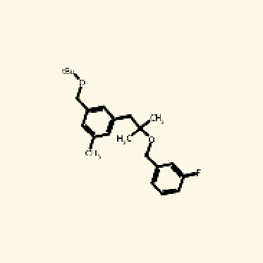 Cc1cc(COC(C)(C)C)cc(CC(C)(C)OCc2cccc(F)c2)c1